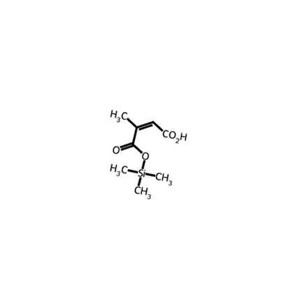 C/C(=C/C(=O)O)C(=O)O[Si](C)(C)C